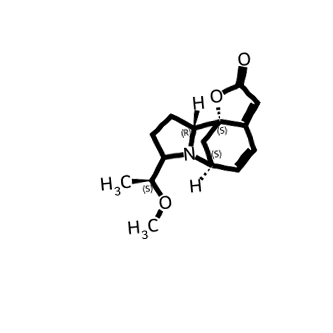 CO[C@@H](C)C1CC[C@H]2N1[C@@H]1C=CC3=CC(=O)O[C@@]32C1